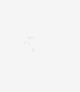 CNNc1nc(C)c(-c2ccccc2)o1